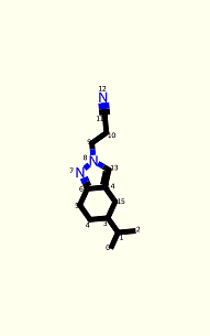 CC(C)C1CCc2nn(CCC#N)cc2C1